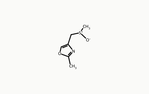 Cc1nc(C[S+](C)[O-])co1